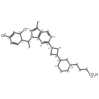 Cc1nn(C(C)C2C=CC(Cl)=CC2Cl)c2nc(N3CC(C4CCCN(CCCC(=O)O)C4)C3)ncc12